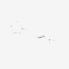 CC(C)(O)C#CCOC1CCCCO1